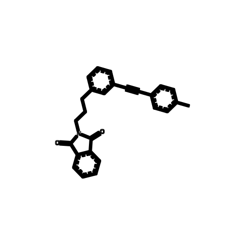 Cc1ccc(C#Cc2cccc(CCCN3C(=O)c4ccccc4C3=O)c2)cc1